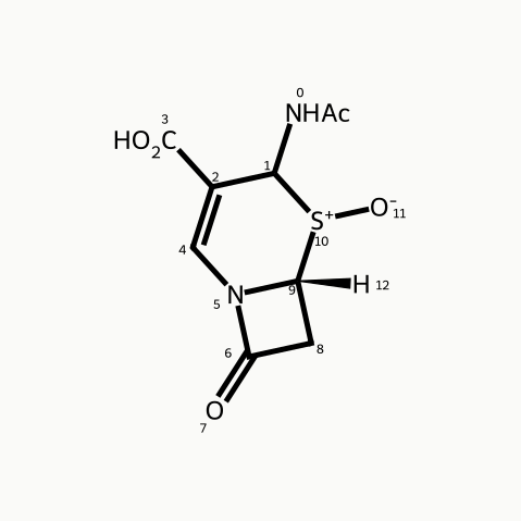 CC(=O)NC1C(C(=O)O)=CN2C(=O)C[C@H]2[S+]1[O-]